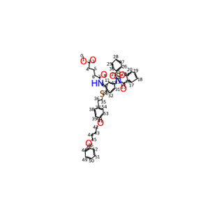 COC(=O)CCCC(=O)Nc1cc(N(C(=O)c2ccccc2)S(=O)(=O)c2ccccc2)ccc1SCCc1ccc(OCCCCOc2ccccc2)cc1